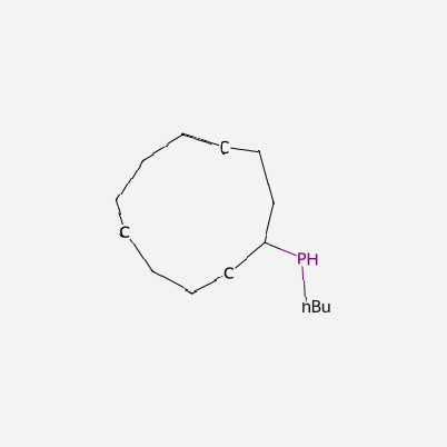 CCCCPC1CCCCCCCCCC1